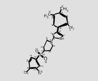 Cc1cc(C)c(-c2csc(N3CCC(S(=O)(=O)c4ccc(Cl)c(Cl)c4)CC3)n2)cc1C